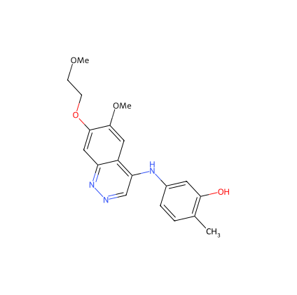 COCCOc1cc2nncc(Nc3ccc(C)c(O)c3)c2cc1OC